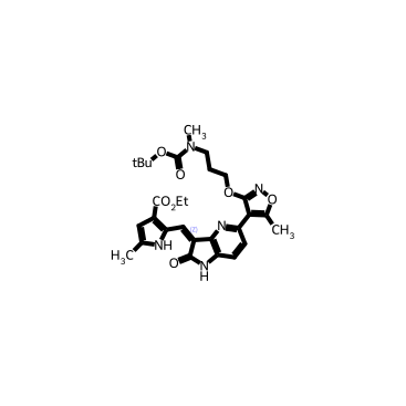 CCOC(=O)c1cc(C)[nH]c1/C=C1\C(=O)Nc2ccc(-c3c(OCCCN(C)C(=O)OC(C)(C)C)noc3C)nc21